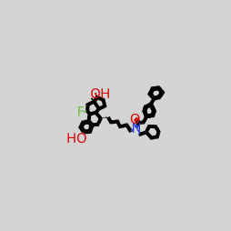 C[C@]12C[C@H](F)C3c4ccc(O)cc4C[C@@H](CCCCCCN(CC4CCCCC4)C(=O)Cc4ccc(-c5ccccc5)cc4)C3C1CC[C@@H]2O